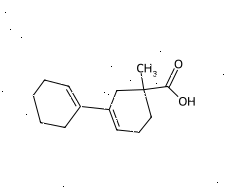 CC1(C(=O)O)CCC=C(C2=CCCCC2)C1